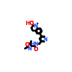 Cc1nc(C(=O)NCc2cncc(-c3ccc4c(c3)CCC(O)N4C)c2)c(C)o1